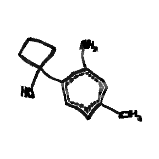 Cc1ccc(C2(O)CCC2)c(N)c1